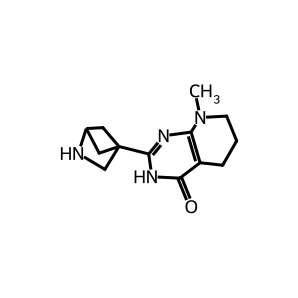 CN1CCCc2c1nc(C13CNC(C1)C3)[nH]c2=O